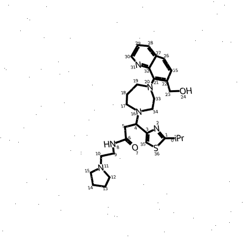 CC(C)c1nc(C(CC(=O)NCCN2CCCC2)N2CCCN(c3c(CO)ccc4cccnc34)CC2)cs1